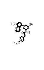 C[C@H]1C[C@@H](NC(=O)CC2CCN(C)CC2)CN(c2ccc(C(F)(F)F)c3ncccc23)C1